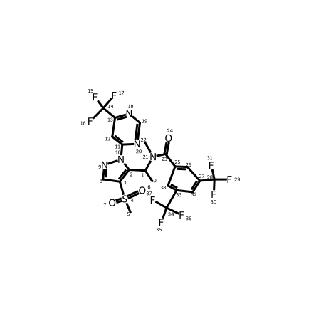 CC(c1c(S(C)(=O)=O)cnn1-c1cc(C(F)(F)F)ncn1)N(C)C(=O)c1cc(C(F)(F)F)cc(C(F)(F)F)c1